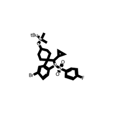 CC(C)(C)[Si](C)(C)OC1CCC2(CC1)c1cc(Br)ccc1N(S(=O)(=O)c1ccc(F)cc1)C2C1CC1